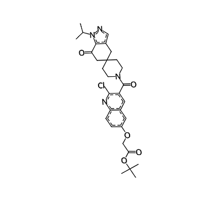 CC(C)n1ncc2c1C(=O)CC1(CCN(C(=O)c3cc4cc(OCC(=O)OC(C)(C)C)ccc4nc3Cl)CC1)C2